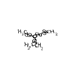 C=CC(=C)OCc1cc(COC(=O)C=C)cc(Oc2cccc(COC(=O)C=C)c2)c1